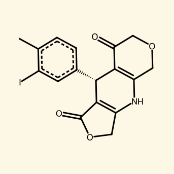 Cc1ccc([C@@H]2C3=C(COCC3=O)NC3=C2C(=O)OC3)cc1I